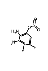 Nc1c(O[SH](=O)=O)cc(F)c(F)c1N